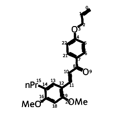 C=CCOc1ccc(C(=O)/C=C/c2cc(CCC)c(OC)cc2OC)cc1